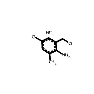 Cc1cc(Cl)cc(CCl)c1N.Cl